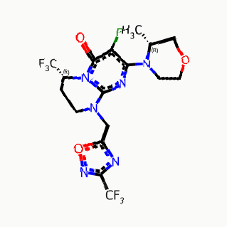 C[C@@H]1COCCN1c1nc2n(c(=O)c1F)[C@@H](C(F)(F)F)CCN2Cc1nc(C(F)(F)F)no1